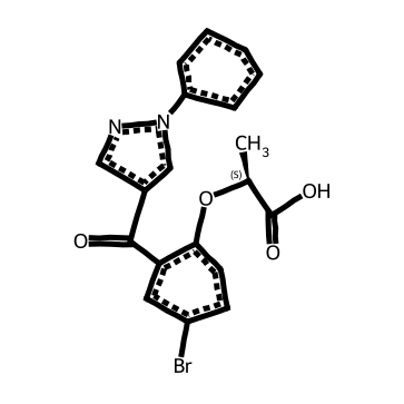 C[C@H](Oc1ccc(Br)cc1C(=O)c1cnn(-c2ccccc2)c1)C(=O)O